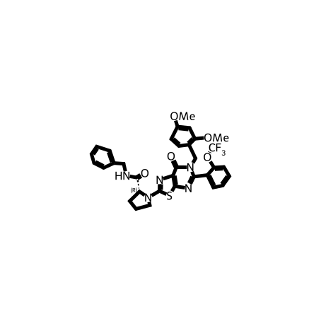 COc1ccc(Cn2c(-c3ccccc3OC(F)(F)F)nc3sc(N4CCC[C@@H]4C(=O)NCc4ccccc4)nc3c2=O)c(OC)c1